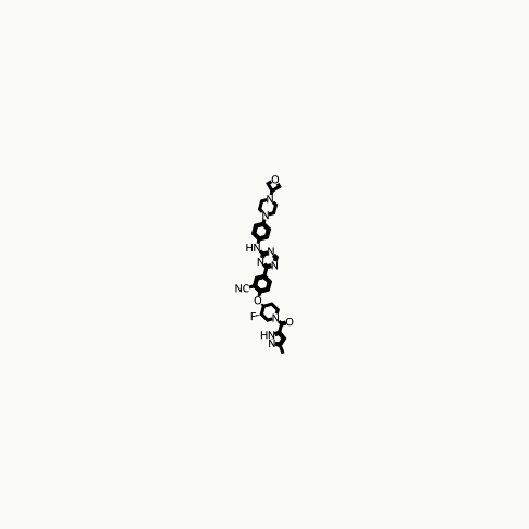 Cc1cc(C(=O)N2CC[C@H](Oc3ccc(-c4ncnc(Nc5ccc(N6CCN(C7COC7)CC6)cc5)n4)cc3C#N)[C@@H](F)C2)[nH]n1